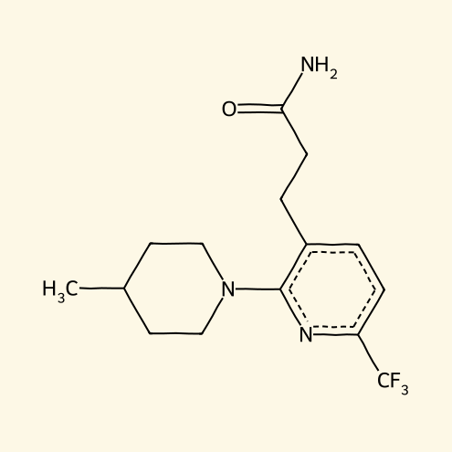 CC1CCN(c2nc(C(F)(F)F)ccc2CCC(N)=O)CC1